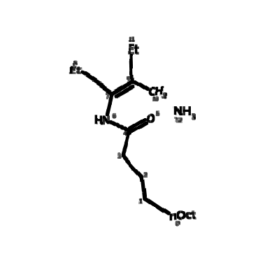 CCCCCCCCCCCC(=O)NC(CC)=C(C)CC.N